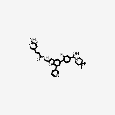 Nc1ccc(/C=C/C(=O)NCc2cc3cc(-c4ccc(C(O)N5CCC(F)(F)CC5)cc4F)cc(-c4cccnc4)c3o2)cn1